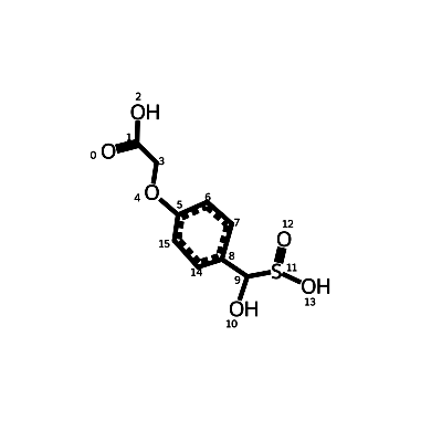 O=C(O)COc1ccc(C(O)S(=O)O)cc1